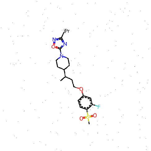 CC(C)c1noc(N2CCC(C(C)CCOc3ccc(S(C)(=O)=O)c(F)c3)CC2)n1